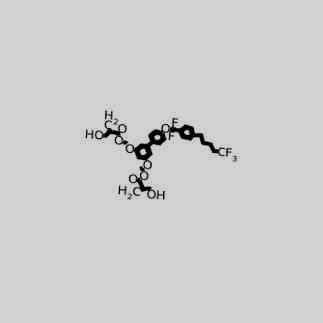 C=C(CO)C(=O)OCOc1cc(OCOC(=O)C(=C)CO)cc(-c2ccc(OC(F)(F)c3ccc(CCCCC(F)(F)F)cc3)cc2)c1